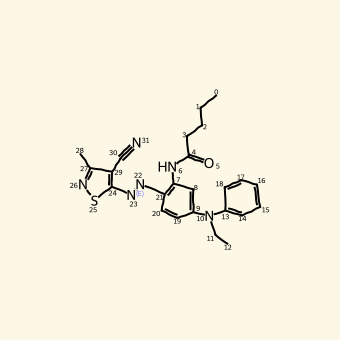 CCCCC(=O)Nc1cc(N(CC)c2ccccc2)ccc1/N=N/c1snc(C)c1C#N